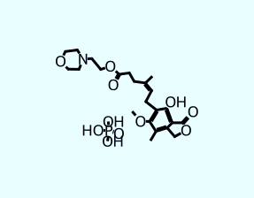 COc1c(C)c2c(c(O)c1CC=C(C)CCC(=O)OCCN1CCOCC1)C(=O)OC2.O=P(O)(O)O